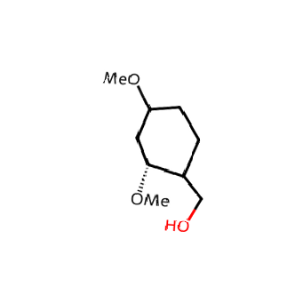 COC1CCC(CO)[C@H](OC)C1